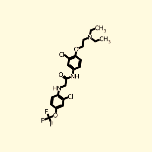 CCN(CC)CCOc1ccc(NC(=O)CNc2ccc(OC(F)(F)F)cc2Cl)cc1Cl